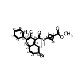 COC(=O)C12CC(NC(=O)c3c(C)c(-c4ccccc4)nc4ccc(Br)cc34)(C1)C2